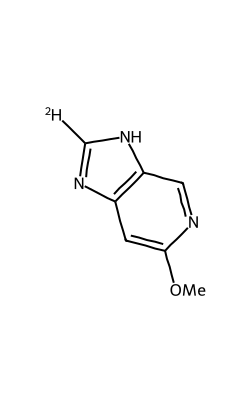 [2H]c1nc2cc(OC)ncc2[nH]1